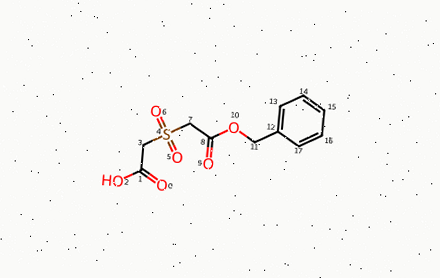 O=C(O)CS(=O)(=O)CC(=O)OCc1ccccc1